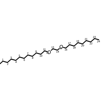 CCCCCCCCCCCCOCCOCCCCCCCCC